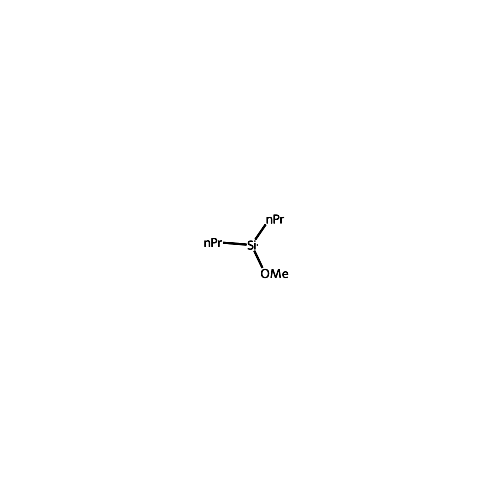 CCC[Si](CCC)OC